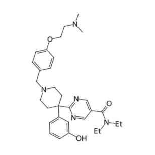 CCN(CC)C(=O)c1cnc(C2(c3cccc(O)c3)CCN(Cc3ccc(OCCN(C)C)cc3)CC2)nc1